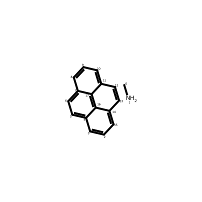 CN.c1cc2ccc3cccc4ccc(c1)c2c34